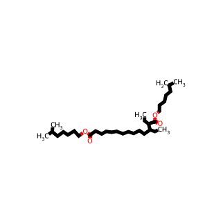 CCC(CCCCCCCCCCC(=O)OCCCCCC(C)C)C(CC)C(=O)OCCCCCC(C)C